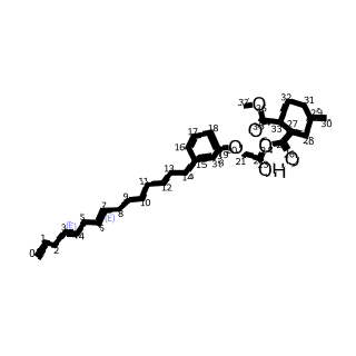 C=CC/C=C/C/C=C/CCCCCCCc1cccc(OCC(O)OC(=O)C2CC(C)CCC2C(=O)OC)c1